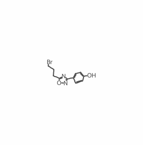 Oc1ccc(-c2noc(CCCBr)n2)cc1